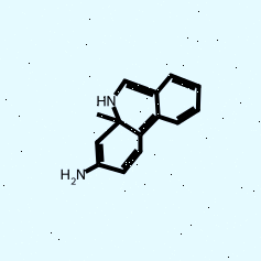 CC12C=C(N)C=CC1=c1ccccc1=CN2